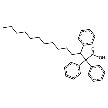 CCCCCCCCCCCC(c1ccccc1)C(C(=O)O)(c1ccccc1)c1ccccc1